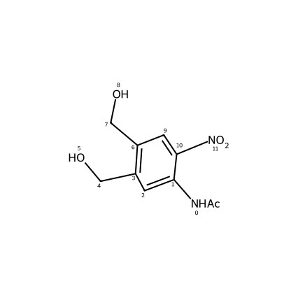 CC(=O)Nc1cc(CO)c(CO)cc1[N+](=O)[O-]